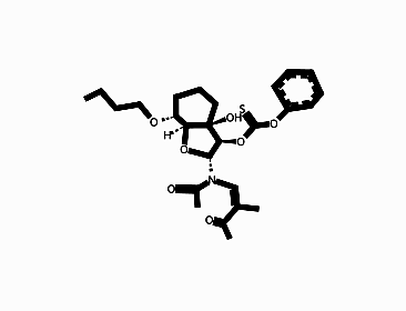 CCCCO[C@@H]1CCC[C@]2(O)[C@@H](OC(=S)Oc3ccccc3)[C@H](N(/C=C(/C)C(C)=O)C(C)=O)O[C@@H]12